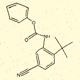 CC(C)(C)c1ccc(C#N)cc1NC(=O)Oc1ccccc1